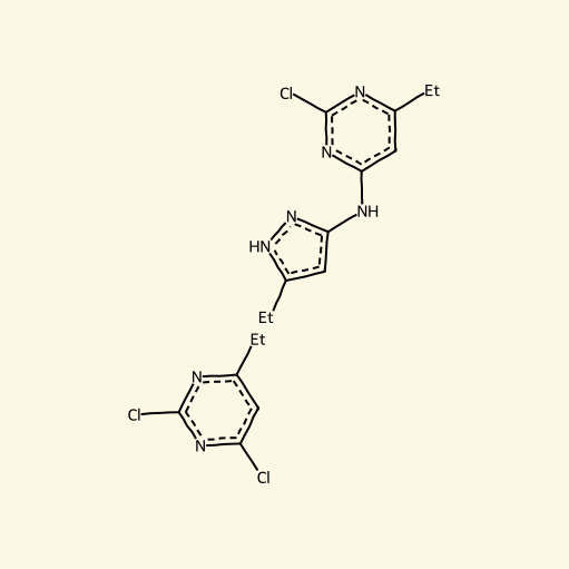 CCc1cc(Cl)nc(Cl)n1.CCc1cc(Nc2cc(CC)[nH]n2)nc(Cl)n1